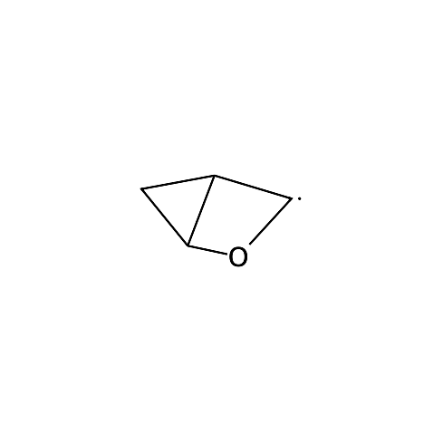 [CH]1OC2CC12